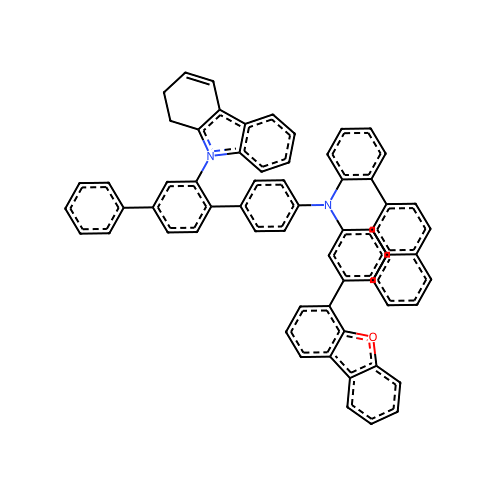 C1=Cc2c(n(-c3cc(-c4ccccc4)ccc3-c3ccc(N(c4cccc(-c5cccc6c5oc5ccccc56)c4)c4ccccc4-c4ccc5ccccc5c4)cc3)c3ccccc23)CC1